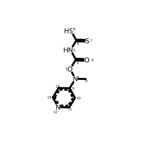 CN(OC(=O)NC(=S)S)c1ccncc1